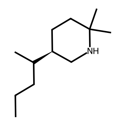 CCCC(C)[C@H]1CCC(C)(C)NC1